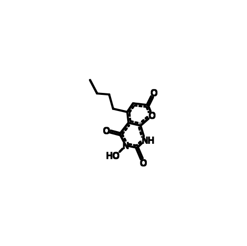 CCCCc1cc(=O)oc2[nH]c(=O)n(O)c(=O)c12